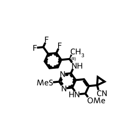 COC1Nc2nc(SC)nc(N[C@H](C)c3cccc(C(F)F)c3F)c2C=C1C1(C#N)CC1